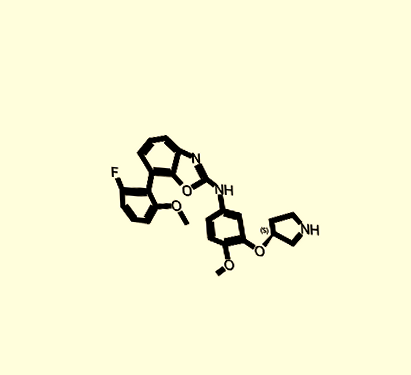 COc1ccc(Nc2nc3cccc(-c4c(F)cccc4OC)c3o2)cc1O[C@H]1CCNC1